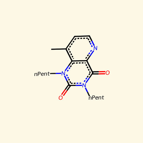 CCCCCn1c(=O)c2nccc(C)c2n(CCCCC)c1=O